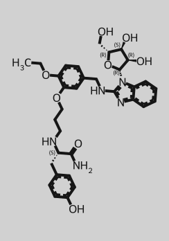 CCOc1ccc(CNc2nc3ccccc3n2[C@@H]2O[C@H](CO)[C@@H](O)[C@H]2O)cc1OCCCN[C@@H](Cc1ccc(O)cc1)C(N)=O